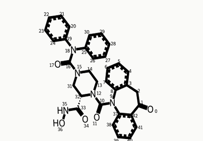 O=C1Cc2ccccc2N(C(=O)N2CCN(C(=O)N(c3ccccc3)c3ccccc3)C[C@H]2C(=O)NO)c2ccccc21